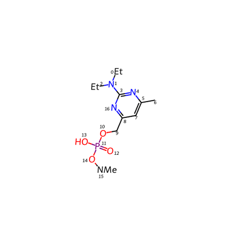 CCN(CC)c1nc(C)cc(COP(=O)(O)ONC)n1